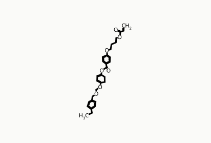 C=CC(=O)OCCCCOc1ccc(C(=O)OC2=CC=C(OCOCc3ccc(CC)cc3)CC2)cc1